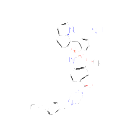 Nc1ccc(S(=O)(=O)Nc2ccc(C(=O)N3CCN(Cc4ccc(C(F)(F)F)cc4)CC3)cc2OC(F)(F)F)c(-c2cccc3cccnc23)c1